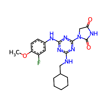 COc1ccc(Nc2nc(NCC3CCCCC3)nc(N3CC(=O)NC3=O)n2)cc1F